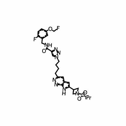 CC(C)S(=O)(=O)N1CC(c2cc3cc(CCCCn4cc(C(=O)NCc5cc(OCF)ccc5F)nn4)nnc3[nH]2)C1